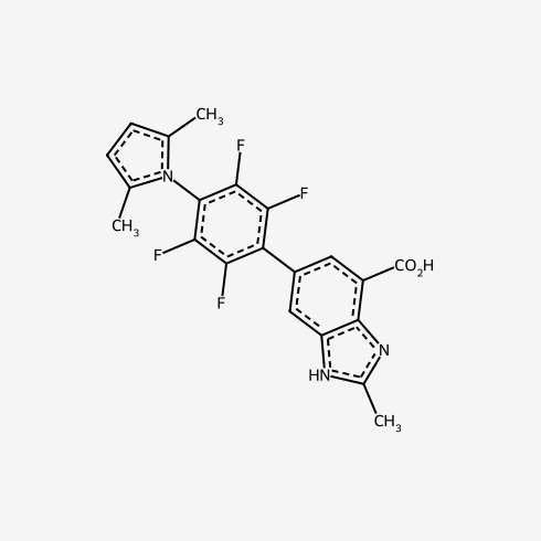 Cc1nc2c(C(=O)O)cc(-c3c(F)c(F)c(-n4c(C)ccc4C)c(F)c3F)cc2[nH]1